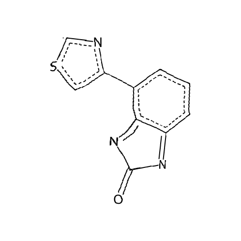 O=C1N=c2cccc(-c3cs[c]n3)c2=N1